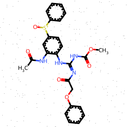 COC(=O)N/C(=N/C(=O)COc1ccccc1)Nc1ccc([S+]([O-])c2ccccc2)cc1NC(C)=O